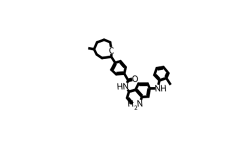 C=CC(NC(=O)c1ccc(C2CCCCC(C)CC2)cc1)c1ccc(Nc2ccccc2C)cc1N